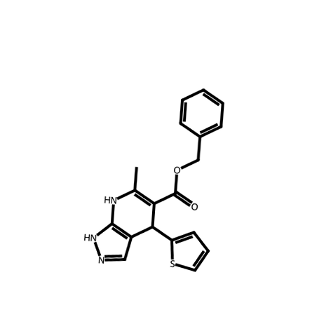 CC1=C(C(=O)OCc2ccccc2)C(c2cccs2)c2cn[nH]c2N1